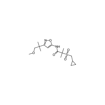 COCC(C)(C)c1cc(NC(=O)C(C)(C)S(=O)(=O)CC2CC2)on1